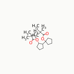 CCC(C)(C)C(=O)OC1(C2CCCC2OC(=O)C(C)(C)C)CCCC1